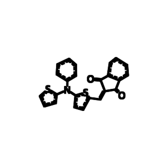 O=C1C(=Cc2ccc(N(c3ccccc3)c3cccs3)s2)C(=O)c2ccccc21